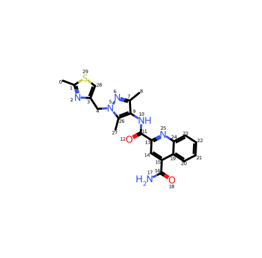 Cc1nc(Cn2nc(C)c(NC(=O)c3cc(C(N)=O)c4ccccc4n3)c2C)cs1